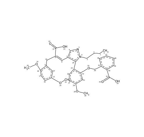 CCCCn1ncc(C=C(Cc2cc(OC)ccc2OC)C(=O)O)c1-c1ccc(OC)cc1OCc1ccccc1C(=O)O